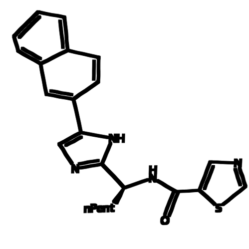 CCCCC[C@H](NC(=O)c1cncs1)c1ncc(-c2ccc3ccccc3c2)[nH]1